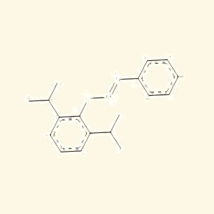 CC(C)c1cccc(C(C)C)c1[O][Mo]=[N]c1ccccc1